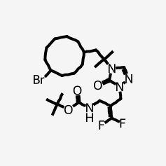 CC(C)(C)OC(=O)NCC(Cn1ncn(C(C)(C)CC2CCCCCC(Br)CCC2)c1=O)=C(F)F